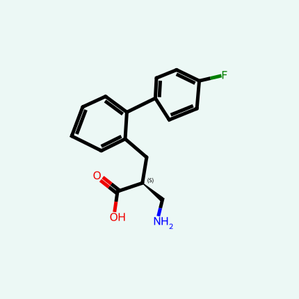 NC[C@H](Cc1ccccc1-c1ccc(F)cc1)C(=O)O